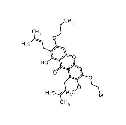 CCCOc1cc2oc3cc(OCCBr)c(OC)c(CC=C(C)C)c3c(=O)c2c(O)c1CC=C(C)C